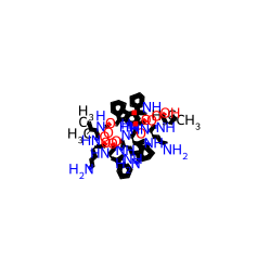 CC[C@@H](C)[C@@H](NC(=O)OCC1c2ccccc2-c2ccccc21)C(=O)N[C@H](CCCCN)C(=O)N[C@H](Cc1c[nH]c2ccccc12)C(=O)N[C@H](CCCCN)C(=O)N[C@H](Cc1c[nH]c2ccccc12)C(=O)N[C@H](Cc1c[nH]c2ccccc12)C(=O)N[C@H](CCCCN)C(=O)N[C@H](CC(C)C)C(=O)O